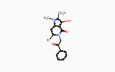 CCc1cc2c(c(O)c(C(=O)O)n2C)c(=O)n1CC(=O)c1ccccc1